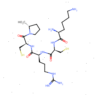 N=C(N)NCCC[C@H](NC(=O)[C@H](CS)NC(=O)[C@@H](N)CCCCN)C(=O)N[C@@H](CS)C(=O)N1CCC[C@H]1C(=O)O